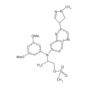 COc1cc(OC)cc(N(c2ccc3ncc(C4C=NN(C)C4)nc3c2)C(C)COS(C)(=O)=O)c1